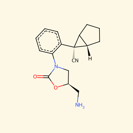 N#C[C@]1(c2ccccc2N2C[C@@H](CN)OC2=O)C2CCC[C@@H]21